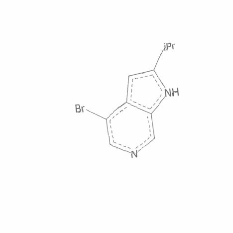 CC(C)c1cc2c(Br)cncc2[nH]1